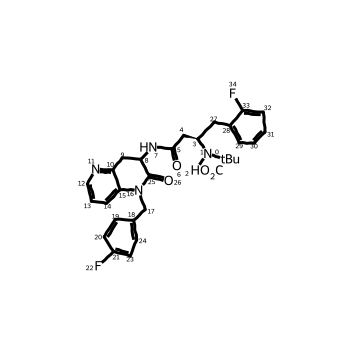 CC(C)(C)N(C(=O)O)[C@@H](CC(=O)NC1Cc2ncccc2N(Cc2ccc(F)cc2)C1=O)Cc1ccccc1F